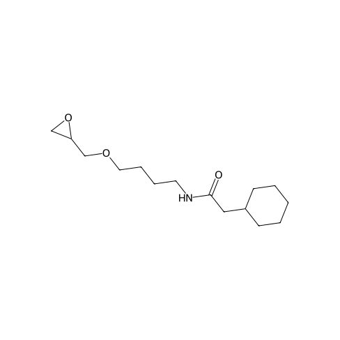 O=C(CC1CCCCC1)NCCCCOCC1CO1